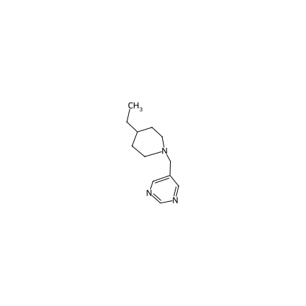 CCC1CCN(Cc2cncnc2)CC1